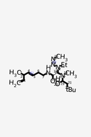 C=CC(C)/C=C/CCNC(O)[C@H](N(CC)/N=N\C)N(C)C(O)CC(C)(C)C